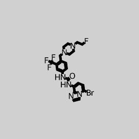 O=C(Nc1ccc(CN2CCN(CCF)CC2)c(C(F)(F)F)c1)Nc1ccc(Br)n2ccnc12